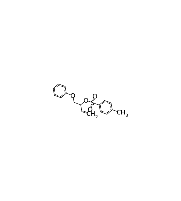 C=CC(COc1ccccc1)OS(=O)(=O)c1ccc(C)cc1